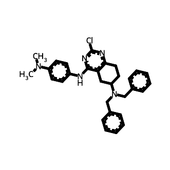 CN(C)c1ccc(Nc2nc(Cl)nc3c2CC(N(Cc2ccccc2)Cc2ccccc2)CC3)cc1